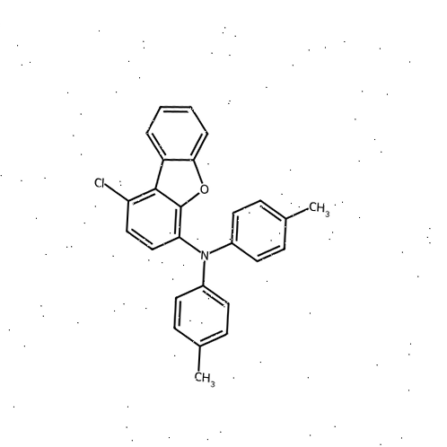 Cc1ccc(N(c2ccc(C)cc2)c2ccc(Cl)c3c2oc2ccccc23)cc1